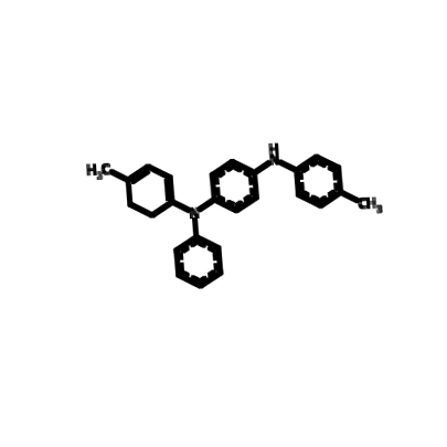 CC1=CC=C(N(c2ccccc2)c2ccc(Nc3ccc(C)cc3)cc2)CC1